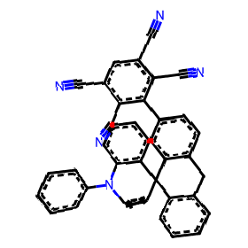 N#Cc1cc(C#N)c(C#N)c(-c2ccc3c(c2)C2(c4ccccc4C3)c3ccccc3N(c3ccccc3)c3ccccc32)c1C#N